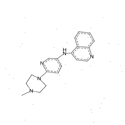 CN1CCN(c2ccc(Nc3ccnc4ccccc34)cn2)CC1